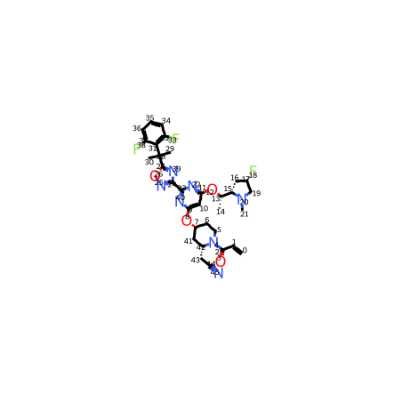 C=CC(=O)N1CC[C@H](Oc2cc(O[C@@H](C)[C@@H]3C[C@@H](F)CN3C)nc(-c3noc(C(C)(C)c4c(F)cccc4F)n3)n2)C[C@H]1CC#N